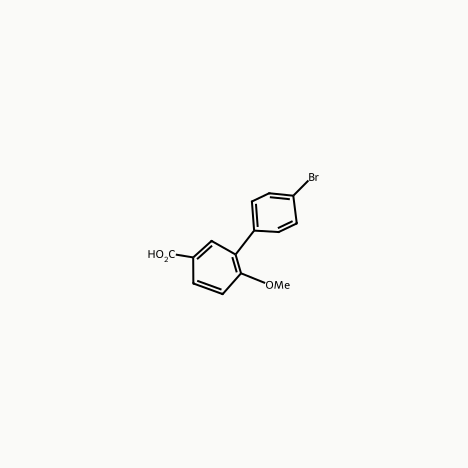 COc1ccc(C(=O)O)cc1-c1ccc(Br)cc1